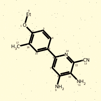 CCOc1ccc(-c2cc(N)c(N)c(C#N)n2)cc1C